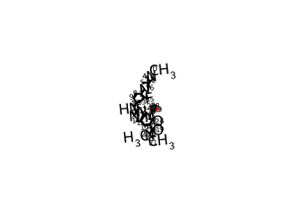 CN1CC2(C1)CN(c1ccc(Nc3ncc4cc(C(=O)N(C)C)c(=O)n(C56CC(C5)C6)c4n3)cc1F)C2